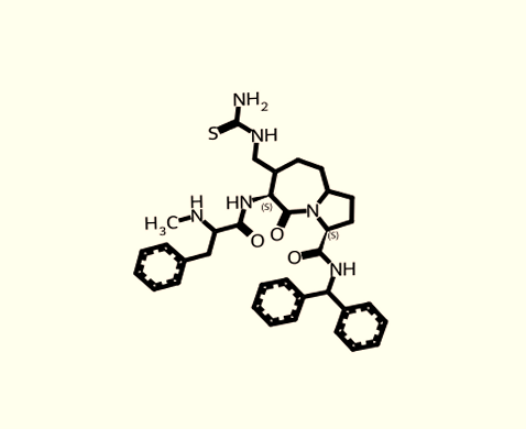 CNC(Cc1ccccc1)C(=O)N[C@@H]1C(=O)N2C(CCC1CNC(N)=S)CC[C@H]2C(=O)NC(c1ccccc1)c1ccccc1